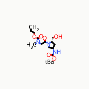 C=CCOC(=O)N(C)CC(=O)N1C[C@H](NC(=O)OC(C)(C)C)C[C@H]1CO